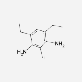 [CH]c1c(N)c(CC)cc(CC)c1N